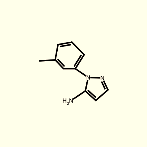 Cc1cccc(-n2nccc2N)c1